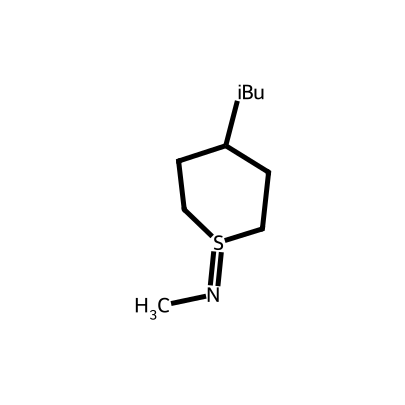 CCC(C)C1CCS(=NC)CC1